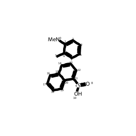 CNc1ccccc1C.O=S(O)c1cccc2ccccc12